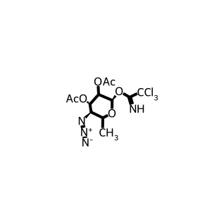 CC(=O)OC1[C@@H](OC(=N)C(Cl)(Cl)Cl)OC(C)[C@@H](N=[N+]=[N-])[C@@H]1OC(C)=O